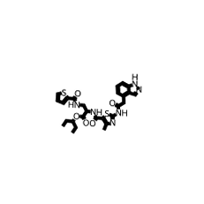 CCC(CC)OC(=O)C(CNC(=O)c1cccs1)NC(=O)c1sc(NC(=O)Cc2cccc3[nH]ncc23)nc1C